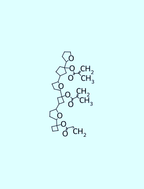 C=CC(=O)OC1(C2CCC(C3CC(OC(=O)C(=C)C)(C4CCC(C5CCC(OC(=O)C(=C)C)(C6CCCO6)C5)O4)C3)O2)CCC1